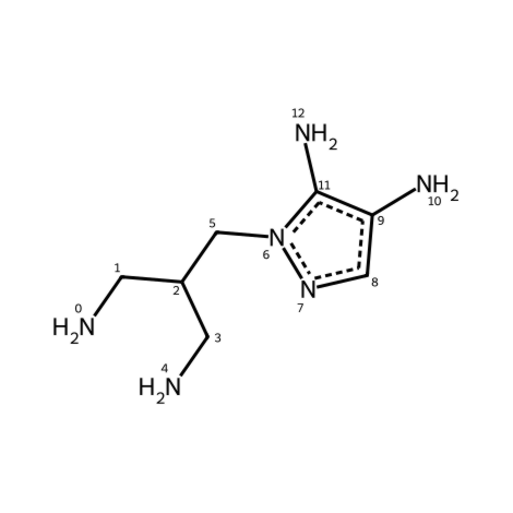 NCC(CN)Cn1ncc(N)c1N